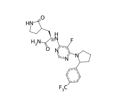 NC(=O)[C@@H](CC1CCNC1=O)Nc1ncnc(N2CCCC2c2ccc(C(F)(F)F)cc2)c1F